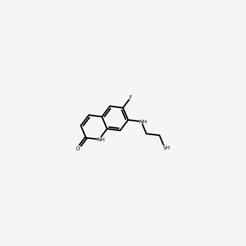 O=c1ccc2cc(F)c(NCCS)cc2[nH]1